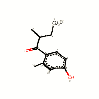 CCOC(=O)CC(C)C(=O)c1ccc(O)cc1C